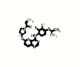 C=CC(=O)N1CC[C@H](Oc2ccc3ncnc(Nc4ccc(OC(C)C)c(Cl)c4F)c3n2)C1